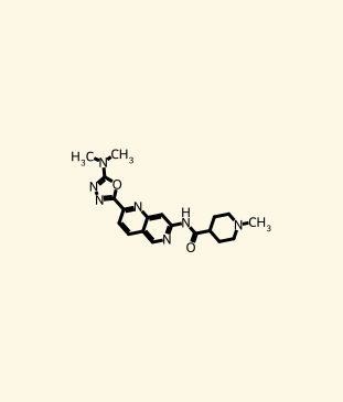 CN1CCC(C(=O)Nc2cc3nc(-c4nnc(N(C)C)o4)ccc3cn2)CC1